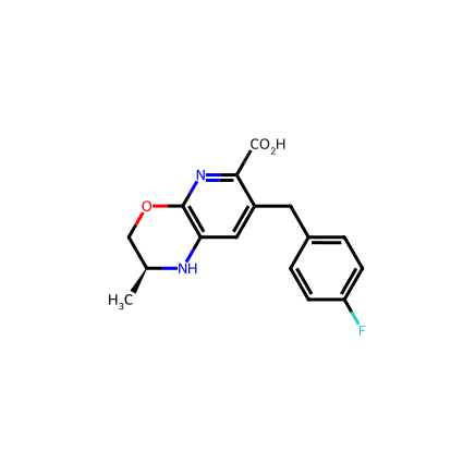 C[C@H]1COc2nc(C(=O)O)c(Cc3ccc(F)cc3)cc2N1